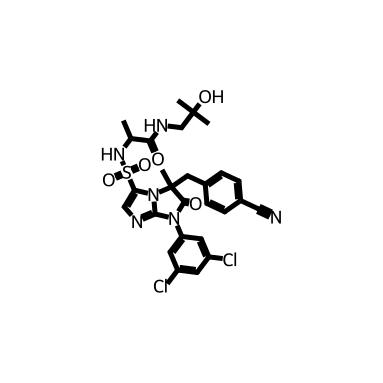 CC(NS(=O)(=O)c1cnc2n1C(C)(Cc1ccc(C#N)cc1)C(=O)N2c1cc(Cl)cc(Cl)c1)C(=O)NCC(C)(C)O